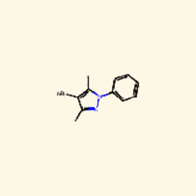 CCCCc1c(C)nn(-c2ccccc2)c1C